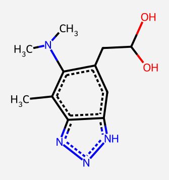 Cc1c(N(C)C)c(CC(O)O)cc2[nH]nnc12